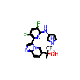 CC(O)(c1ccc2ncc(-c3nc(N[C@@H]4CCNC4)c(F)cc3F)n2c1)C(F)(F)F